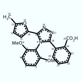 COc1cccc(OC)c1-n1c(-c2ccc(C)o2)nnc1-c1ccccc1C(=O)O